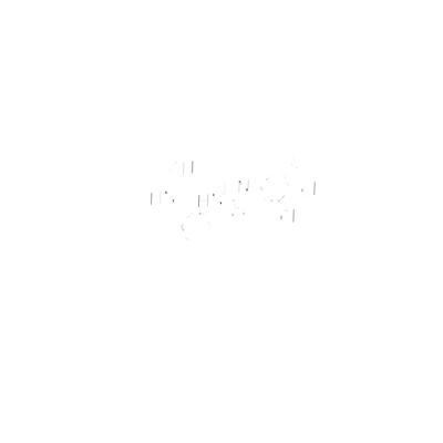 CC(CC1CCCCC1)NCc1ccccc1NC(=O)Nc1cc(Cl)c(Cl)c(Cl)c1